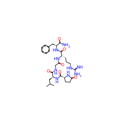 CC(C)C[C@H](NC(=O)[C@@H]1CCC(=O)N1)C(=O)NCC(=O)N[C@@H](CCCNC(=N)N)C(=O)N[C@@H](Cc1ccccc1)C(N)=O